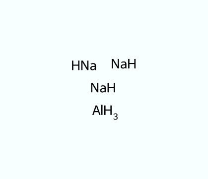 [AlH3].[NaH].[NaH].[NaH]